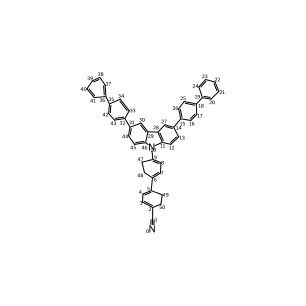 N#CC1=CC=C(C2=CC=C(n3c4ccc(-c5ccc(-c6ccccc6)cc5)cc4c4cc(-c5ccc(-c6ccccc6)cc5)ccc43)CC2)CC1